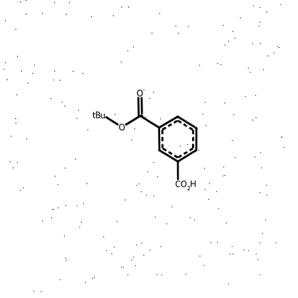 CC(C)(C)OC(=O)c1cc[c]c(C(=O)O)c1